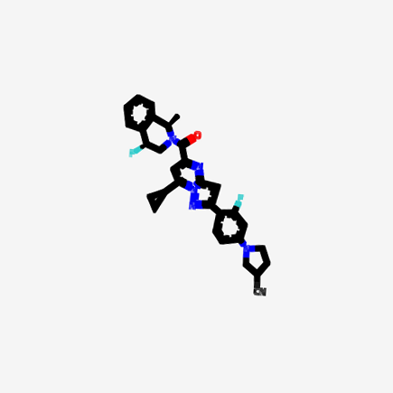 C[C@@H]1c2ccccc2[C@H](F)CN1C(=O)c1cc(C2CC2)n2nc(-c3ccc(N4CCC(C#N)C4)cc3F)cc2n1